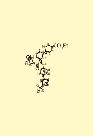 CCOC(=O)C1CC=C(c2cccc(N(CC34CCC(c5noc(C(C)(C)F)n5)(CC3)CC4)C(=O)[C@H]3C[C@@](C)(O)C3)c2)CC1